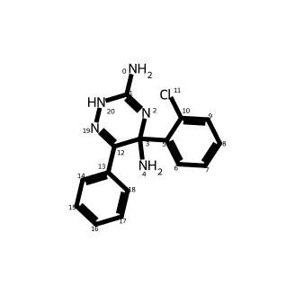 NC1=NC(N)(c2ccccc2Cl)C(c2ccccc2)=NN1